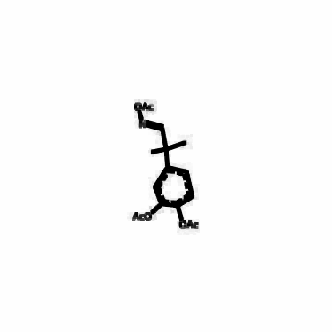 CC(=O)ON=CC(C)(C)c1ccc(OC(C)=O)c(OC(C)=O)c1